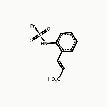 CC(C)S(=O)(=O)Nc1ccccc1C=CC(=O)O